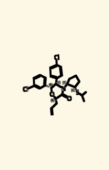 C=CC[C@H]1O[C@H](c2cccc(Cl)c2)[C@@H](c2ccc(Cl)cc2)N([C@H]2CCC[C@@H]2SC(C)C)C1=O